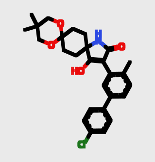 Cc1ccc(-c2ccc(Cl)cc2)cc1C1=C(O)C2(CCC3(CC2)OCC(C)(C)CO3)NC1=O